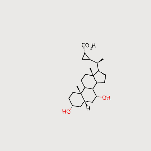 C[C@H](C1C[C@@H]1C(=O)O)[C@H]1CCC2C3C(CC[C@@]21C)[C@@]1(C)CC[C@@H](O)C[C@H]1C[C@H]3O